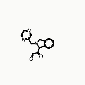 O=CC(=O)C1c2ccccc2CN1Cc1cnccn1